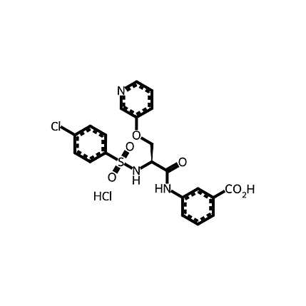 Cl.O=C(O)c1cccc(NC(=O)[C@H](COc2cccnc2)NS(=O)(=O)c2ccc(Cl)cc2)c1